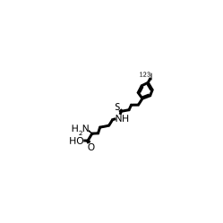 N[C@@H](CCCCNC(=S)CCCc1ccc([123I])cc1)C(=O)O